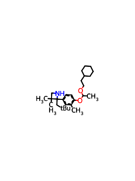 Cc1cc(C2(CC(C)(C)C)NCC2(C)C)ccc1OC(C)OCCC1CCCCC1